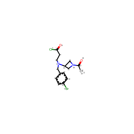 O=C(Cl)CCN(Cc1ccc(Br)cc1)C1CN(C(=O)C(F)(F)F)C1